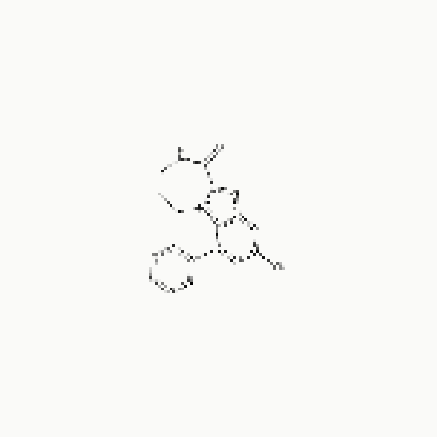 N#Cc1cc(-c2ccccc2)c2c(c1)cc1n2CCCNC1=O